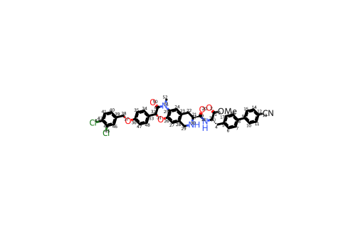 COC(=O)[C@H](Cc1ccc(-c2ccc(C#N)cc2)cc1)NC(=O)[C@@H]1Cc2cc3c(cc2CN1)OC(c1ccc(OCc2ccc(Cl)c(Cl)c2)cc1)C(=O)N3C